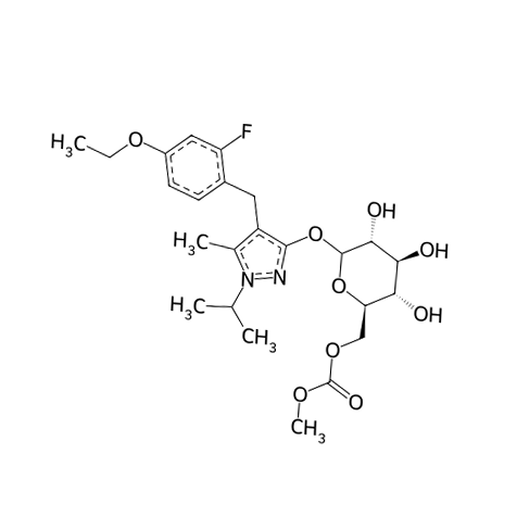 CCOc1ccc(Cc2c(OC3O[C@H](COC(=O)OC)[C@@H](O)[C@H](O)[C@H]3O)nn(C(C)C)c2C)c(F)c1